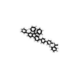 C=C1N=C2C=CC(c3ccc(-c4ccc5c(c4)C(c4ccccc4)(c4ccccc4)c4cc(-c6ccncc6)ccc4-5)cc3)=CN2Oc2ccccc21